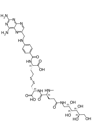 CN[C@@H](CCC(=O)NC[C@H](O)[C@@H](O)[C@H](O)[C@H](O)CO)C(=O)N[C@@H](CSSCC[C@H](NC(=O)c1ccc(NCc2cnc3nc(N)nc(N)c3n2)cc1)C(=O)O)C(=O)O